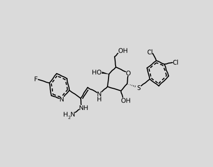 NN/C(=C\NC1C(O)[C@@H](Sc2ccc(Cl)c(Cl)c2)OC(CO)[C@@H]1O)c1ccc(F)cn1